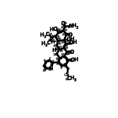 CSCc1cc(-c2ccccn2)c2c(c1O)C(=O)C1=C(O)[C@]3(O)C(=O)C(C(N)=O)=C(O)[C@H](N(C)C)[C@@H]3C[C@@H]1C2